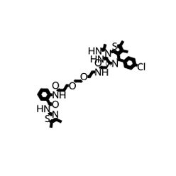 CC(=N)N1C(=N)[C@H](CC(=O)NCCOCCOCCC(=O)Nc2ccccc2C(=O)Nc2nc(C)c(C)s2)N=C(c2ccc(Cl)cc2)c2c1sc(C)c2C